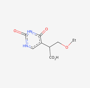 CCOCC(C(=O)O)c1c[nH]c(=O)[nH]c1=O